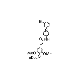 CCCCCCCCCCOc1c(OC)cc(C=CC(=O)NN2CCN(c3cccc(CC)c3)CC2)cc1OC